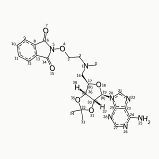 CN(CCON1C(=O)c2ccccc2C1=O)C[C@H]1O[C@@H](n2cnc3c(N)ncnc32)[C@@H]2OC(C)(C)O[C@@H]21